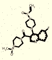 C=C[S+]([O-])N1CCN(c2c(C(=O)N3CCN([S+](C)[O-])CC3)cnc3ccc(F)cc23)CC1